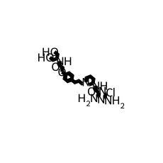 Nc1nc(N)c(C(=O)NC2CCCN(CCCc3ccc(OCC(=O)NC(CO)CO)cc3)C2)nc1Cl